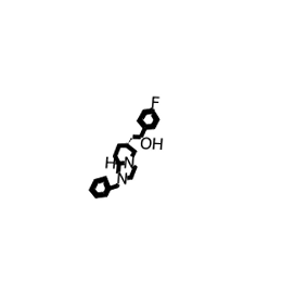 OC(C[C@H]1CC[C@H]2CN(Cc3ccccc3)CCN2C1)c1ccc(F)cc1